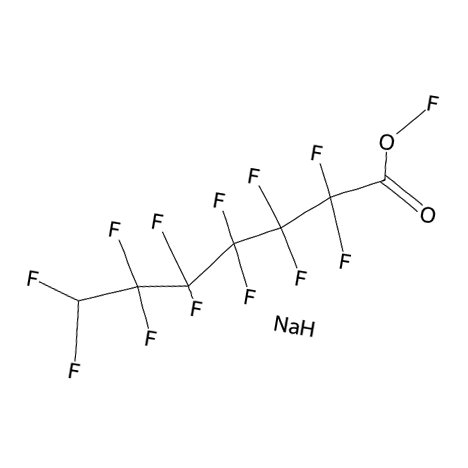 O=C(OF)C(F)(F)C(F)(F)C(F)(F)C(F)(F)C(F)(F)C(F)F.[NaH]